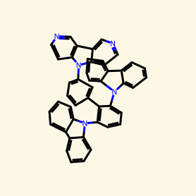 c1cc(-c2c(-n3c4ccccc4c4ccccc43)cccc2-n2c3ccccc3c3ccccc32)cc(-n2c3ccncc3c3cnccc32)c1